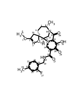 COC1=NO[C@@]2(CC[C@H](C)N3C[C@H]2n2cc(C(=O)NCc4ccc(C)cc4F)c(=O)c(O)c2C3=O)C1